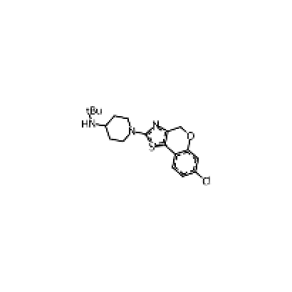 CC(C)(C)NC1CCN(c2nc3c(s2)-c2ccc(Cl)cc2OC3)CC1